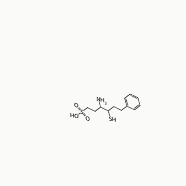 NC(CCS(=O)(=O)O)C(S)CCc1ccccc1